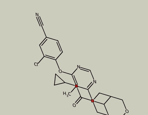 Cc1c(Oc2ccc(C#N)cc2Cl)ncnc1OC1C2COCC1CN(C(=O)OC1CC1)C2